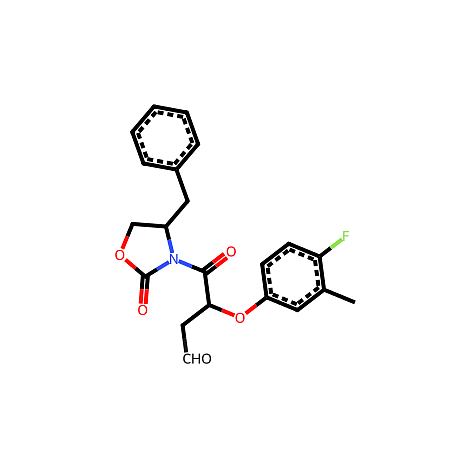 Cc1cc(OC(CC=O)C(=O)N2C(=O)OCC2Cc2ccccc2)ccc1F